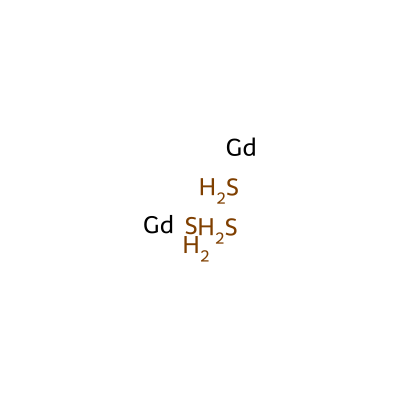 S.S.S.[Gd].[Gd]